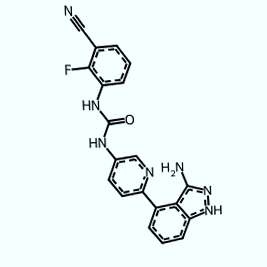 N#Cc1cccc(NC(=O)Nc2ccc(-c3cccc4[nH]nc(N)c34)nc2)c1F